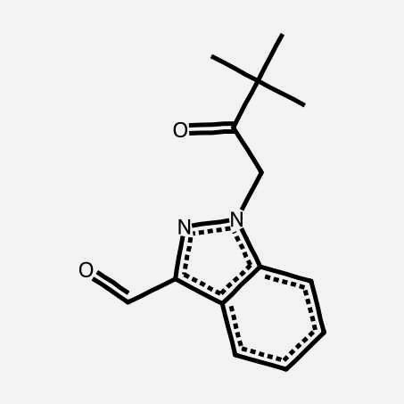 CC(C)(C)C(=O)Cn1nc(C=O)c2ccccc21